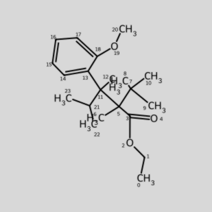 CCOC(=O)C(C)(C(C)(C)C)C(C)(c1ccccc1OC)C(C)C